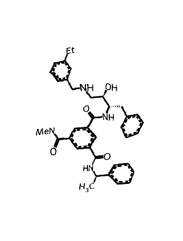 CCc1cccc(CNC[C@@H](O)[C@H](Cc2ccccc2)NC(=O)c2cc(C(=O)NC)cc(C(=O)N[C@H](C)c3ccccc3)c2)c1